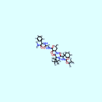 CCCC(NC(=O)[C@@H]1[C@@H]2[C@H](CN1C(=O)[C@@H](NC(=O)O[C@H](C)C(C)C)C1(C)CCCCC1)C2(C)C)C(=O)C(=O)NCC(=O)N[C@H](C(=O)N(C)C)c1ccccc1